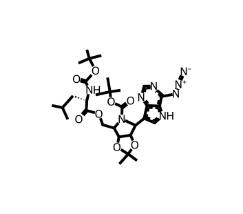 CC(C)C[C@H](NC(=O)OC(C)(C)C)C(=O)OCC1C2OC(C)(C)OC2C(c2c[nH]c3c(N=[N+]=[N-])ncnc23)N1C(=O)OC(C)(C)C